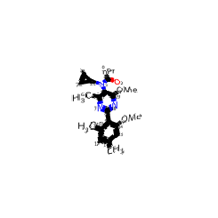 CCCC(=O)N(c1c(C)nc(-c2c(C)cc(C)cc2OC)nc1OC)C1CC1